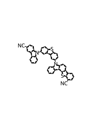 N#Cc1ccc2c(c1)c1ccccc1n2-c1ccc2sc3ccc(-n4c5ccccc5c5c6sc7c(C#N)cccc7c6ccc54)cc3c2c1